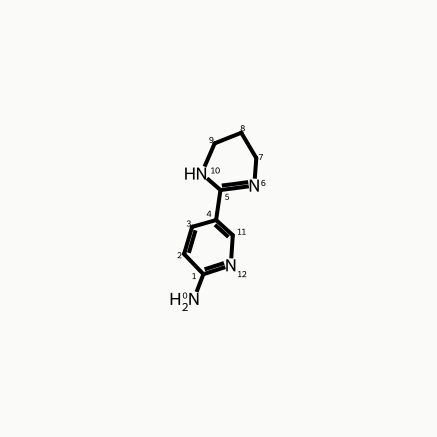 Nc1ccc(C2=NCCCN2)cn1